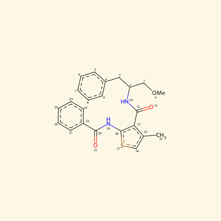 COCC(Cc1ccccc1)NC(=O)c1c(C)csc1NC(=O)c1ccccc1